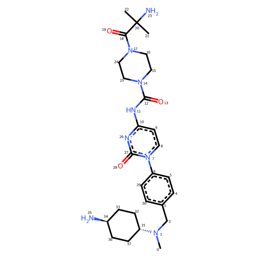 CN(Cc1ccc(-n2ccc(NC(=O)N3CCN(C(=O)C(C)(C)N)CC3)nc2=O)cc1)[C@H]1CC[C@H](N)CC1